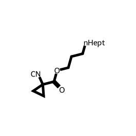 [C-]#[N+]C1(C(=O)OCCCCCCCCCC)CC1